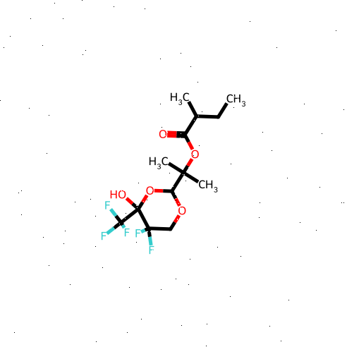 CCC(C)C(=O)OC(C)(C)C1OCC(F)(F)C(O)(C(F)(F)F)O1